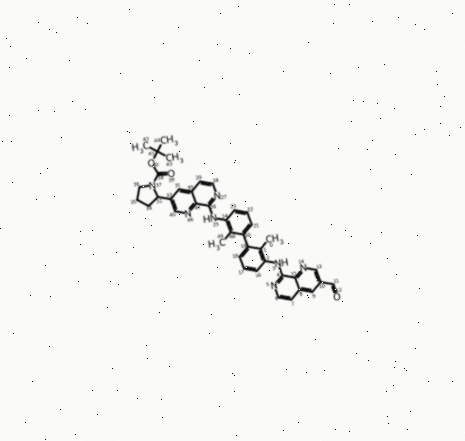 Cc1c(Nc2nccc3cc(C=O)cnc23)cccc1-c1cccc(Nc2nccc3cc(C4CCCN4C(=O)OC(C)(C)C)cnc23)c1C